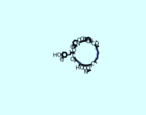 CC#N.CO[C@H]1C[C@@H]2CC[C@@H](C)[C@@](O)(O2)C(=O)C(=O)N2CCCC[C@H]2C(=O)O[C@H]([C@H](C)C[C@@H]2CC[C@@H](O)[C@H](OC)C2)CC(=O)[C@H](C)/C=C(\C)[C@@H](O)[C@@H](OC)C(=O)[C@H](C)C[C@H](C)/C=C/C=C/C=C/1C